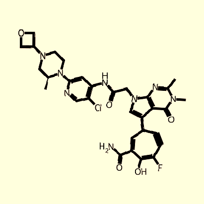 Cc1nc2c(c(C3C#CC(F)=C(O)C(C(N)=O)=C3)cn2CC(=O)Nc2cc(N3CCN(C4COC4)C[C@@H]3C)ncc2Cl)c(=O)n1C